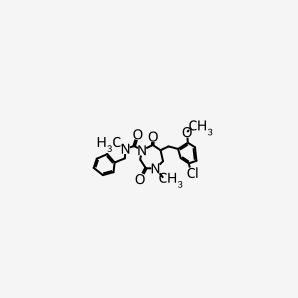 COc1ccc(Cl)cc1CC1CN(C)C(=O)CN(C(=O)N(C)Cc2ccccc2)C1=O